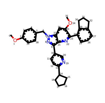 COc1ccc(Cn2nc(-c3ccc(C4C[CH]CC4)nc3)c3nc(-c4cccc5c4CCC5)c(OC)cc32)cc1